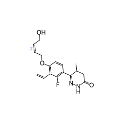 C=Cc1c(OC/C=C\CO)ccc(C2=NNC(=O)CC2C)c1F